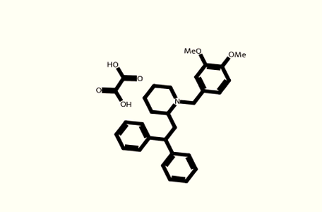 COc1ccc(CN2CCCCC2CC(c2ccccc2)c2ccccc2)cc1OC.O=C(O)C(=O)O